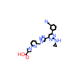 N#Cc1cccc(-c2cc(-c3cn(Cc4cccc(N5CC(C(=O)O)C5)n4)nn3)nc(NC3CC3)n2)c1